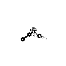 CN1CCC(NC[C@H](NC(=O)c2ccc(C#Cc3ccccc3)cc2)C(=O)NO)CC1